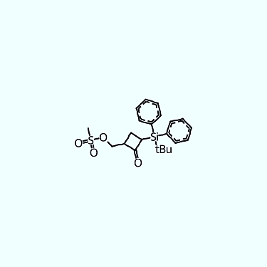 CC(C)(C)[Si](c1ccccc1)(c1ccccc1)C1CC(COS(C)(=O)=O)C1=O